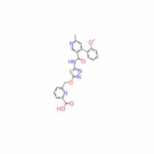 COc1ccccc1-c1cc(C)ncc1C(=O)Nc1nnc(OCc2cccc(C(=O)O)n2)s1